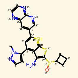 Cn1nccc1C1=c2c(N)c([S+]([O-])C3CCC3)sc2=[SH]C(c2cnc3nccnc3c2)=C1